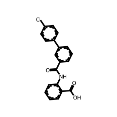 O=C(Nc1ccccc1C(=O)O)c1cccc(-c2ccc(Cl)cc2)c1